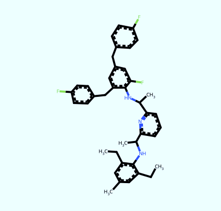 CCc1cc(C)cc(CC)c1NC(C)c1cccc(C(C)Nc2c(F)cc(Cc3ccc(F)cc3)cc2Cc2ccc(F)cc2)n1